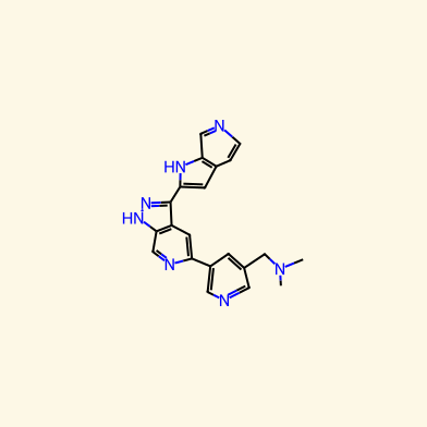 CN(C)Cc1cncc(-c2cc3c(-c4cc5ccncc5[nH]4)n[nH]c3cn2)c1